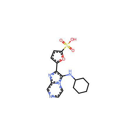 O=S(=O)(O)c1ccc(-c2nc3cnccn3c2NC2CCCCC2)o1